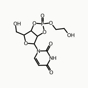 O=c1ccn(C2OC(CO)C3OP(=O)(OCCO)OC32)c(=O)[nH]1